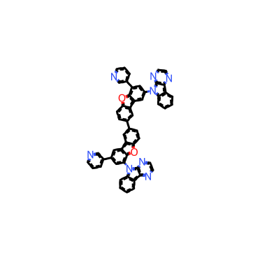 c1cncc(-c2cc(-n3c4ccccc4c4nccnc43)c3oc4ccc(-c5ccc6oc7c(-c8cccnc8)cc(-n8c9ccccc9c9nccnc98)cc7c6c5)cc4c3c2)c1